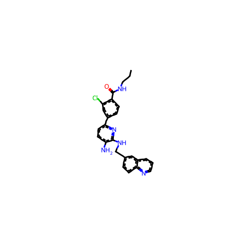 CCCNC(=O)c1ccc(-c2ccc(N)c(NCc3ccc4ncccc4c3)n2)cc1Cl